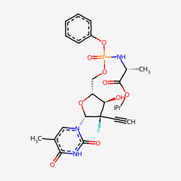 C#C[C@@]1(F)[C@H](O)[C@@H](COP(=O)(N[C@H](C)C(=O)OC(C)C)Oc2ccccc2)O[C@H]1n1cc(C)c(=O)[nH]c1=O